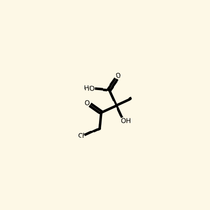 CC(O)(C(=O)O)C(=O)CCl